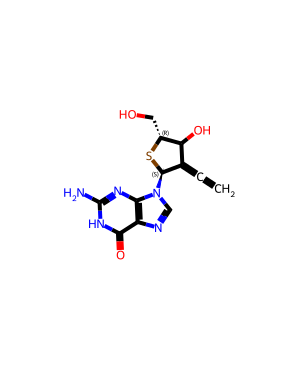 C=C=C1C(O)[C@@H](CO)S[C@@H]1n1cnc2c(=O)[nH]c(N)nc21